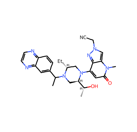 CC[C@@H]1CN(c2cc(=O)n(C)c3cn(CC#N)nc23)[C@@H]([C@@H](C)O)CN1C(C)c1ccc2nccnc2c1